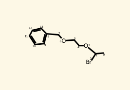 CC(Br)OCCOCc1ccccc1